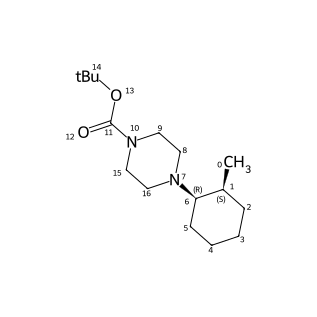 C[C@H]1CCCC[C@H]1N1CCN(C(=O)OC(C)(C)C)CC1